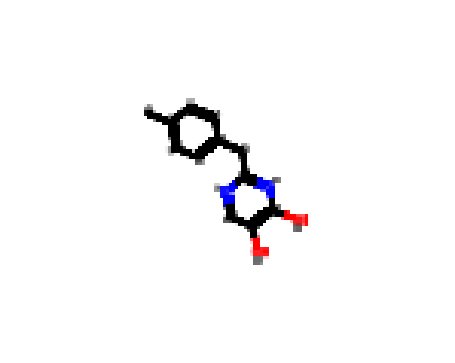 Cc1ccc(Cc2ncc(O)c(O)n2)cc1